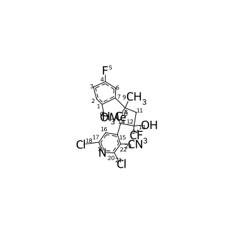 COc1ccc(F)cc1C(C)(C)CC(O)(Cc1cc(Cl)nc(Cl)c1C#N)C(F)(F)F